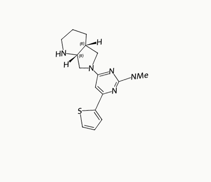 CNc1nc(-c2cccs2)cc(N2C[C@H]3CCCN[C@H]3C2)n1